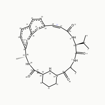 CC1NC(=O)[C@H](C(C)C)NC(=O)/C=C\c2cc3cc(ccc3cn2)[C@@H](C)NC(=O)[C@@H]2CCCN(N2)C1=O